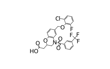 O=C(O)CC1CN(S(=O)(=O)c2cccc(C(F)(F)F)c2)c2cc(COc3c(F)cccc3Cl)ccc2O1